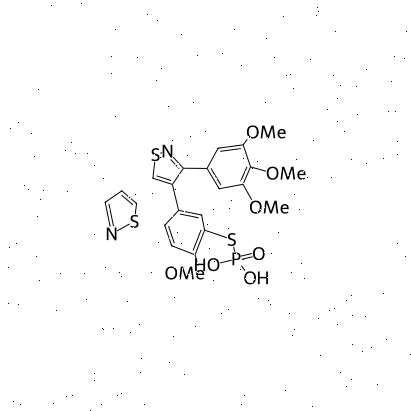 COc1ccc(-c2csnc2-c2cc(OC)c(OC)c(OC)c2)cc1SP(=O)(O)O.c1cnsc1